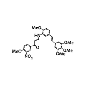 COc1ccc(C=Cc2cc(OC)c(OC)c(OC)c2)cc1NC=CC(=O)c1ccc(OC)c([N+](=O)[O-])c1